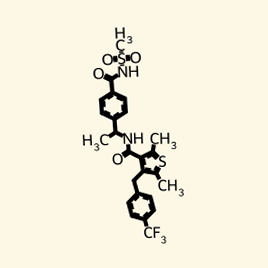 Cc1sc(C)c(C(=O)NC(C)c2ccc(C(=O)NS(C)(=O)=O)cc2)c1Cc1ccc(C(F)(F)F)cc1